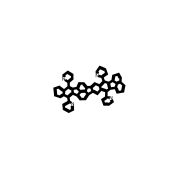 c1ccc(-c2c3c(c(-c4ccccn4)c4ccccc24)-c2ccc4c5cc6c(-c7ccccn7)c7c8cccc9cccc(c7c(-c7ccccn7)c6cc5c5ccc-3c2c54)c98)nc1